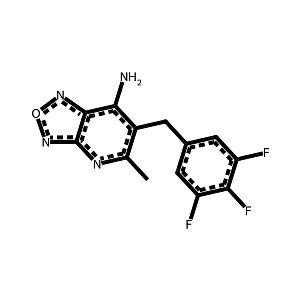 Cc1nc2nonc2c(N)c1Cc1cc(F)c(F)c(F)c1